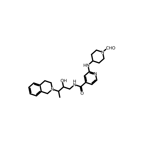 CC(C(O)CNC(=O)c1ccnc(NC2CCN(C=O)CC2)c1)N1CCc2ccccc2C1